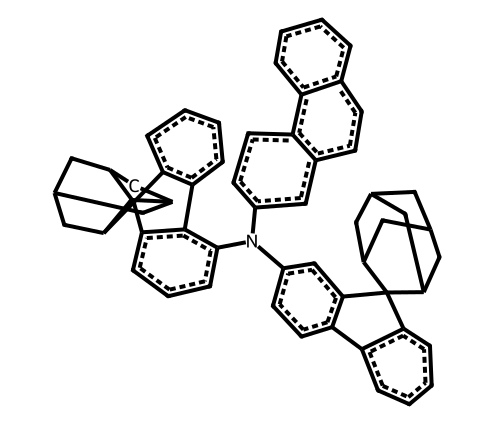 c1ccc2c(c1)-c1ccc(N(c3ccc4c(ccc5ccccc54)c3)c3cccc4c3-c3ccccc3C43C4CC5CC(C4)CC3C5)cc1C21C2CC3CC(C2)CC1C3